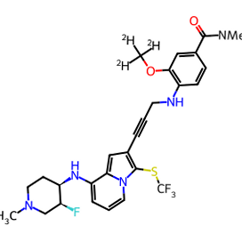 [2H]C([2H])([2H])Oc1cc(C(=O)NC)ccc1NCC#Cc1cc2c(N[C@@H]3CCN(C)C[C@@H]3F)cccn2c1SC(F)(F)F